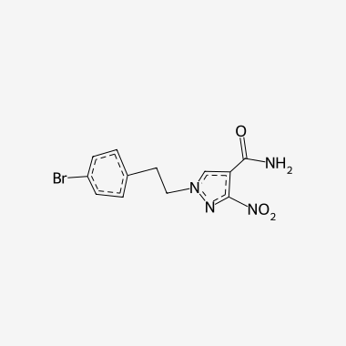 NC(=O)c1cn(CCc2ccc(Br)cc2)nc1[N+](=O)[O-]